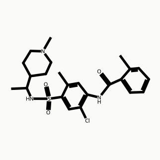 Cc1ccccc1C(=O)Nc1cc(C)c(S(=O)(=O)NC(C)C2CCN(C)CC2)cc1Cl